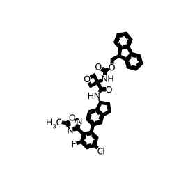 Cc1nc(-c2c(F)cc(Cl)cc2-c2ccc3c(c2)CC[C@@H]3NC(=O)C2(NC(=O)OCC3c4ccccc4-c4ccccc43)COC2)no1